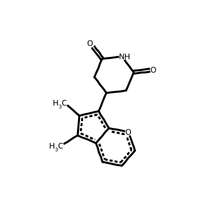 Cc1c2cccoc-2c(C2CC(=O)NC(=O)C2)c1C